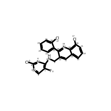 Fc1cnc(Cl)nc1NCc1cc2cccc(Cl)c2nc1-c1ccccc1Cl